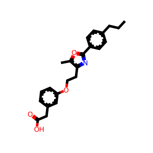 CCCc1ccc(-c2nc(CCOc3cccc(CC(=O)O)c3)c(C)o2)cc1